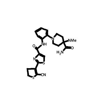 CNC1(C(N)=O)CCN(c2ccccc2NC(=O)c2csc(C3=C(C#N)SCC3)n2)CC1